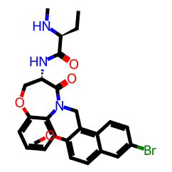 CC[C@H](NC)C(=O)N[C@H]1COc2ccccc2N(Cc2c(OC)ccc3cc(Br)ccc23)C1=O